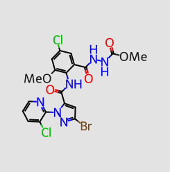 COC(=O)NNC(=O)c1cc(Cl)cc(OC)c1NC(=O)c1cc(Br)nn1-c1ncccc1Cl